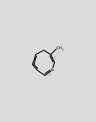 C/C1=C/N=C\C=C=CC1